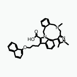 Cc1c2c(nn1C)CN(C)Cc1ccccc1Cn1c(C(=O)O)c(CCCOc3cccc4ccccc34)c3cccc-2c31